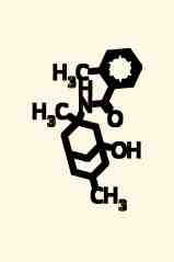 Cc1ccccc1C(=O)NC1(C)CC2CC(C)CC(O)(C2)C1